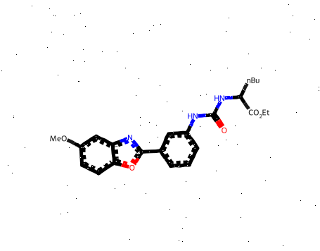 CCCCC(NC(=O)Nc1cccc(-c2nc3cc(OC)ccc3o2)c1)C(=O)OCC